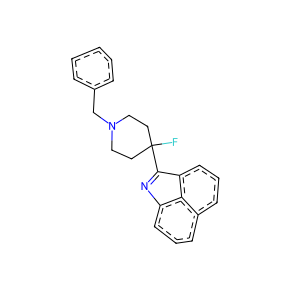 FC1(C2=Nc3cccc4cccc2c34)CCN(Cc2ccccc2)CC1